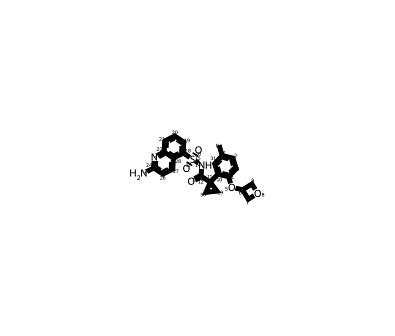 Cc1ccc(OC2COC2)c(C2(C(=O)NS(=O)(=O)c3cccc4nc(N)ccc34)CC2)c1